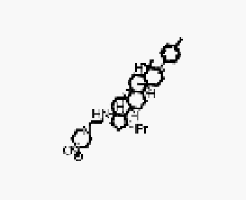 Cc1ccc([C@H]2CC[C@]3(C)[C@H]4CC[C@@H]5[C@H]6[C@H](C(C)C)CC[C@]6(NCCN6CCS(=O)(=O)CC6)CC[C@@]5(C)[C@]4(C)CC[C@H]3C2(C)C)cc1